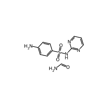 NC=O.Nc1ccc(S(=O)(=O)Nc2ncccn2)cc1